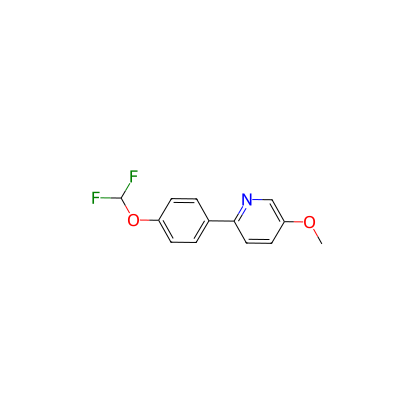 COc1ccc(-c2ccc(OC(F)F)cc2)nc1